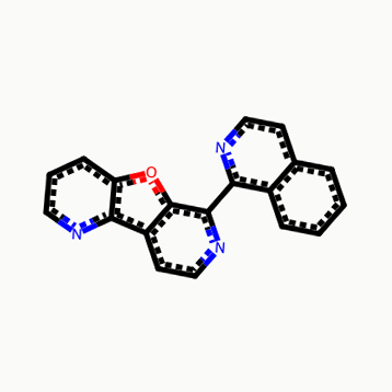 c1ccc2c(-c3nccc4c3oc3cccnc34)nccc2c1